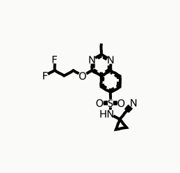 Cc1nc(OCCC(F)F)c2cc(S(=O)(=O)NC3(C#N)CC3)ccc2n1